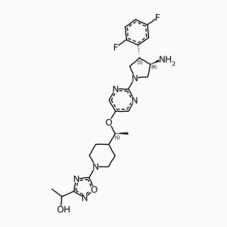 CC(O)c1noc(N2CCC([C@H](C)Oc3cnc(N4C[C@H](c5cc(F)ccc5F)[C@@H](N)C4)nc3)CC2)n1